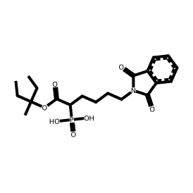 CCC(C)(CC)OC(=O)C(CCCCN1C(=O)c2ccccc2C1=O)P(=O)(O)O